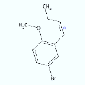 CC/C=C\c1cc(Br)ccc1OC